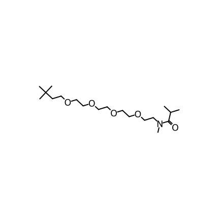 CC(C)C(=O)N(C)CCOCCOCCOCCOCCC(C)(C)C